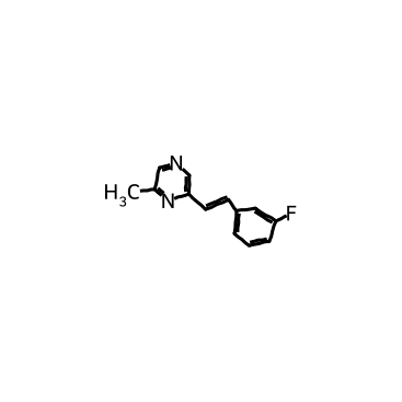 Cc1cncc(/C=C/c2cccc(F)c2)n1